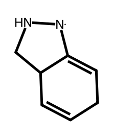 C1=CC2CN[N]C2=CC1